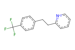 FC(F)(F)c1ccc(CCc2ccccn2)cc1